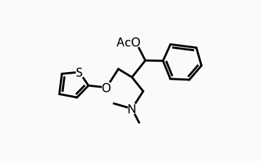 CC(=O)OC(c1ccccc1)C(COc1cccs1)CN(C)C